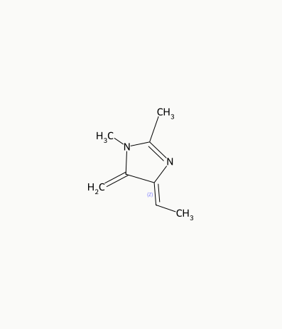 C=c1/c(=C/C)nc(C)n1C